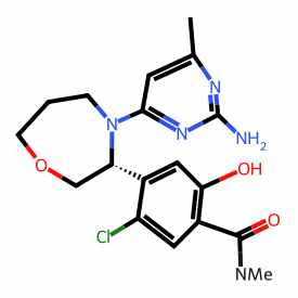 CNC(=O)c1cc(Cl)c([C@@H]2COCCCN2c2cc(C)nc(N)n2)cc1O